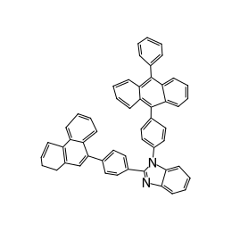 C1=Cc2c(cc(-c3ccc(-c4nc5ccccc5n4-c4ccc(-c5c6ccccc6c(-c6ccccc6)c6ccccc56)cc4)cc3)c3ccccc23)CC1